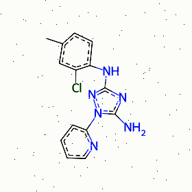 Cc1ccc(Nc2nc(N)n(-c3ccccn3)n2)c(Cl)c1